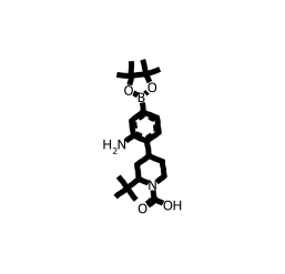 CC(C)(C)C1CC(c2ccc(B3OC(C)(C)C(C)(C)O3)cc2N)CCN1C(=O)O